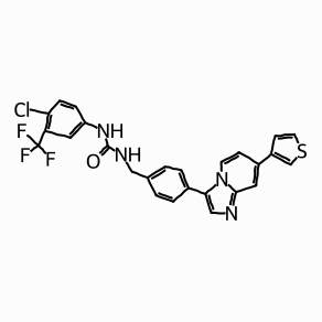 O=C(NCc1ccc(-c2cnc3cc(-c4ccsc4)ccn23)cc1)Nc1ccc(Cl)c(C(F)(F)F)c1